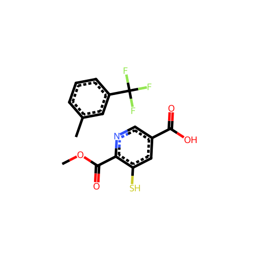 COC(=O)c1ncc(C(=O)O)cc1S.Cc1cccc(C(F)(F)F)c1